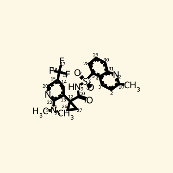 Cc1ccc2c(S(=O)(=O)NC(=O)C3(c4cc(C(F)(F)F)cnc4N(C)C)CC3)cccc2n1